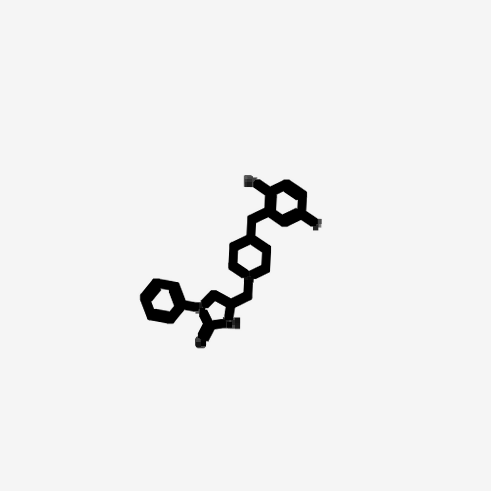 O=C1NC(CN2CCC(Cc3cc(F)ccc3Br)CC2)CN1c1ccccc1